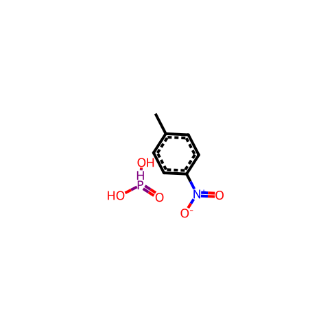 Cc1ccc([N+](=O)[O-])cc1.O=[PH](O)O